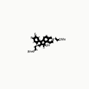 COCC[n+]1ccc2c3c(ccc2c1)-c1c(c[n+](CCOC)c2cc(F)c(F)cc12)C3(C)O